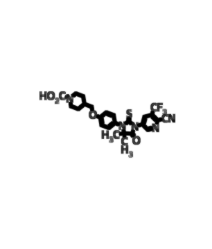 CC1(C)C(=O)N(c2cnc(C#N)c(C(F)(F)F)c2)C(=S)N1c1ccc(OCC2CCN(C(=O)O)CC2)cc1